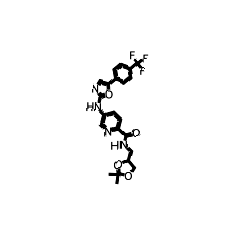 CC1(C)OCC(CNC(=O)c2ccc(Nc3ncc(-c4ccc(C(F)(F)F)cc4)o3)cn2)O1